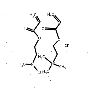 C=CC(=O)OCCN(C)C.C=CC(=O)OCC[N+](C)(C)C.[Cl-]